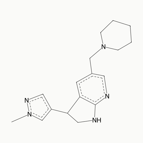 Cn1cc(C2CNc3ncc(CN4CCCCC4)cc32)cn1